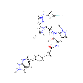 Cn1cc(C[C@@H](NC(=O)[C@H]2C[C@@H]2c2ccc(-c3cnc4nn(C)cc4c3)cc2)C(=O)NC(C)(C)Cn2nc(C(F)(F)F)cc2-c2ccn(C[C@H]3C[C@H](F)C3)n2)cn1